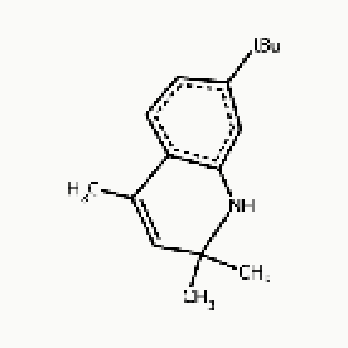 CC1=CC(C)(C)Nc2cc(C(C)(C)C)ccc21